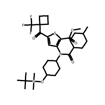 COC(=O)c1sc(C(=O)C2(C(F)(F)F)CCC2)cc1N(C(=O)C1CCC(C)CC1)C1CCC(O[Si](C)(C)C(C)(C)C)CC1